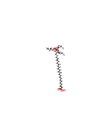 CCO[Si](CCCCCCCCCCCCCCCCCCCCCCCCCCC(=O)O)(OCC)OCC